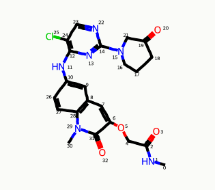 CNC(=O)COc1cc2cc(Nc3nc(N4CCCC(=O)C4)ncc3Cl)ccc2n(C)c1=O